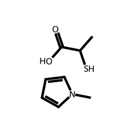 CC(S)C(=O)O.Cn1cccc1